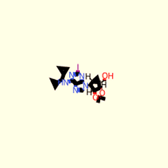 CC1(C)O[C@H]2[C@H](n3cnc4c(NC(C5CC5)C5CC5)nc(I)nc43)[C@H]3C[C@@]3(CO)[C@H]2O1